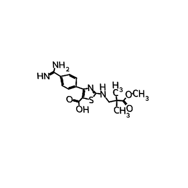 COC(=O)C(C)(C)CNc1nc(-c2ccc(C(=N)N)cc2)c(C(=O)O)s1